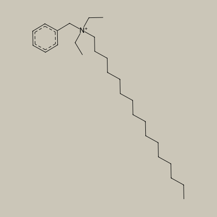 CCCCCCCCCCCCCCCC[N+](CC)(CC)Cc1ccccc1